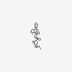 Cc1cccc(C(=O)N2C[C@@H](C)O[C@@H](C)C2)c1NC1CCN(C(=O)C2=CN=CC(N)=CC2)C1